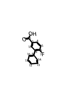 O=C(O)c1ccc(F)c(-c2c[c]ccc2)c1